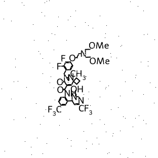 COCCN(CCOC)CCOc1ccc(CN2C(=O)C(C(=O)Nc3ccc(C(F)(F)F)cc3-c3cc(C(F)(F)F)ncn3)=C(O)C3(CCC3)N2C)c(F)c1F